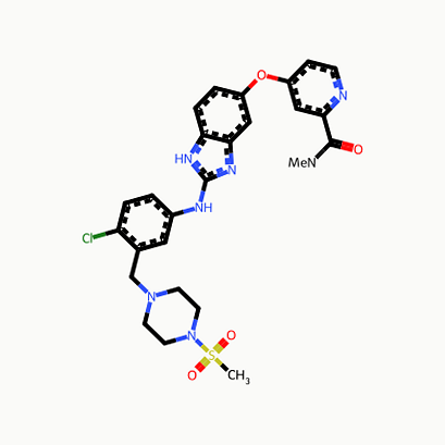 CNC(=O)c1cc(Oc2ccc3[nH]c(Nc4ccc(Cl)c(CN5CCN(S(C)(=O)=O)CC5)c4)nc3c2)ccn1